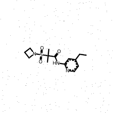 CCc1ccnc(NC(=O)C(C)(C)S(=O)(=O)N2CCC2)c1